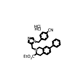 CCOC(=O)C1Cc2ccc(-c3ccccc3)cc2CN1Cc1cncn1Cc1ccc(C#N)cc1.Cl.Cl